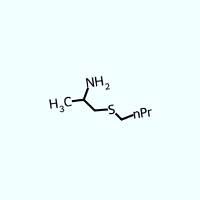 CCCCSCC(C)N